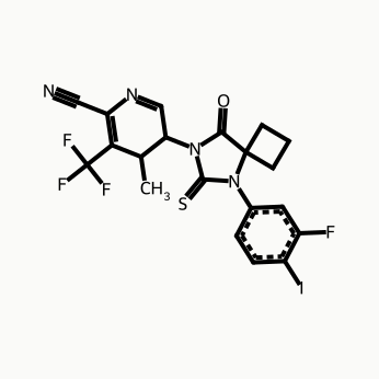 CC1C(C(F)(F)F)=C(C#N)N=CC1N1C(=O)C2(CCC2)N(c2ccc(I)c(F)c2)C1=S